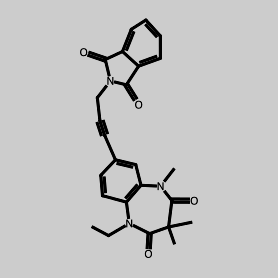 CCN1C(=O)C(C)(C)C(=O)N(C)c2cc(C#CCN3C(=O)c4ccccc4C3=O)ccc21